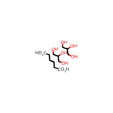 O=C(O)CCCCC(=O)O.OCC(O)CO.OCC(O)CO